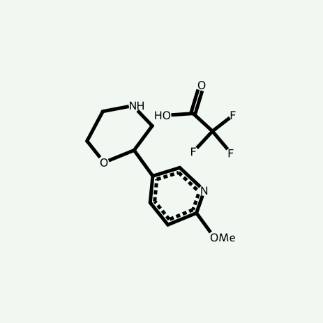 COc1ccc(C2CNCCO2)cn1.O=C(O)C(F)(F)F